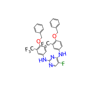 Fc1cnc(Nc2ccc(OCc3ccccc3)c(C(F)(F)F)c2)nc1Nc1ccc(OCc2ccccc2)c(C(F)(F)F)c1